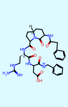 N=C(N)NCC[C@H](NC(=O)C1CC[C@@H]2CCC(NC(=O)Cc3ccccc3)C(=O)N12)C(=O)NC(CC(=O)O)C(=O)NCc1ccccc1